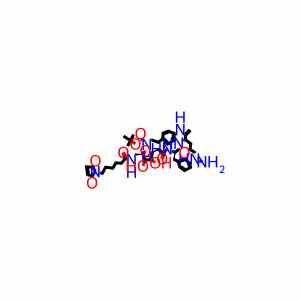 C=C(Nc1ccc(CCNC(=O)OC(C)(C)C)cc1)C(CCCNN)NC(=O)[C@@H](Cc1ccccc1)NC(=O)C[C@@H]1O[C@H](CNC(=O)CCCCCN2C(=O)C=CC2=O)C(O)C1O